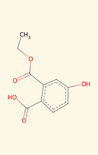 CCOC(=O)c1cc(O)ccc1C(=O)O